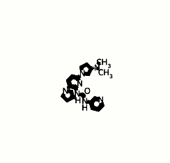 CN(C)[C@H]1CCN(c2ccc3c(n2)N(C(=O)Nc2cccnc2)[C@H]2CCN3C2)C1